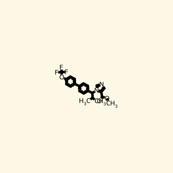 COC(=O)c1cncn1C(c1ccc(-c2ccc(OC(F)(F)F)cc2)cc1)C(C)C